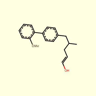 COc1ccccc1-c1ccc(CC(C)CC=CO)cc1